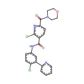 O=C(Nc1ccc(Cl)c(-c2ccccn2)c1)c1ccc(C(=O)N2CCOCC2)nc1Cl